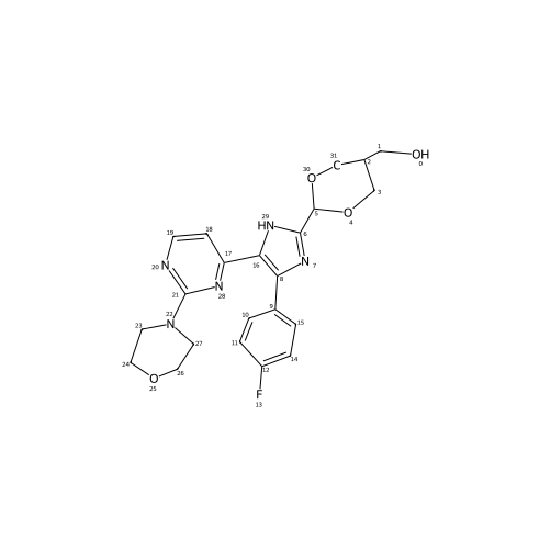 OCC1COC(c2nc(-c3ccc(F)cc3)c(-c3ccnc(N4CCOCC4)n3)[nH]2)OC1